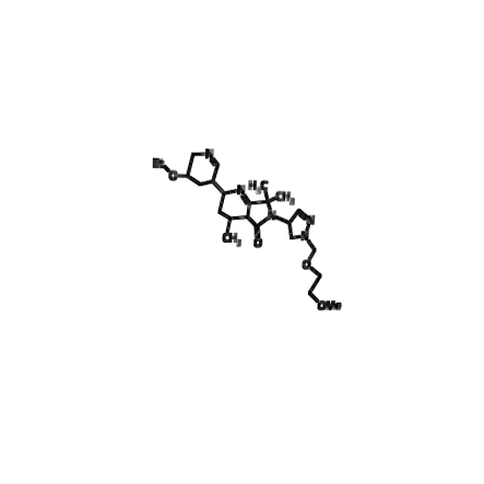 CCOC1CN=CC(C2CC(C)C3C(=O)N(C4C=NN(COCCOC)C4)C(C)(C)C3=N2)C1